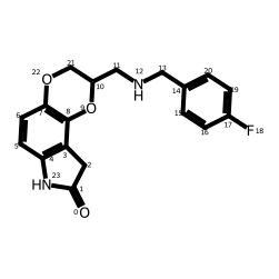 O=C1Cc2c(ccc3c2OC(CNCc2ccc(F)cc2)CO3)N1